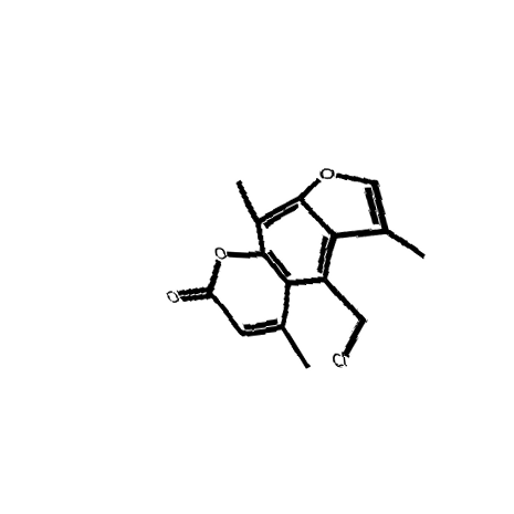 Cc1c2occ(C)c2c(CCl)c2c(C)cc(=O)oc12